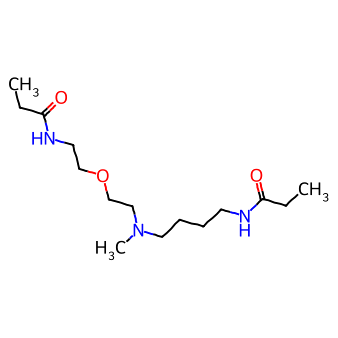 CCC(=O)NCCCCN(C)CCOCCNC(=O)CC